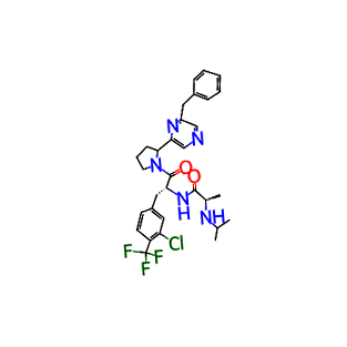 CC(C)N[C@H](C)C(=O)N[C@H](Cc1ccc(C(F)(F)F)c(Cl)c1)C(=O)N1CCCC1c1cncc(Cc2ccccc2)n1